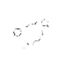 COC(=O)C(O)CC=C=CC[C@H]1C(=O)C[C@@H](C)[C@@H]1/C=C/CCOc1ccccc1